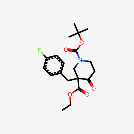 CCOC(=O)C1(Cc2ccc(F)cc2)CN(C(=O)OC(C)(C)C)CCC1=O